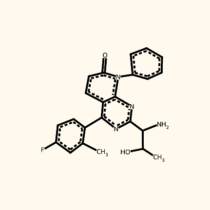 Cc1cc(F)ccc1-c1nc(C(N)C(C)O)nc2c1ccc(=O)n2-c1ccccc1